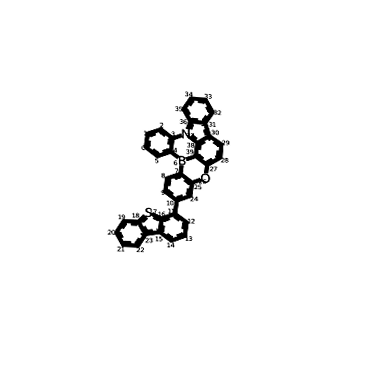 c1ccc2c(c1)B1c3ccc(-c4cccc5c4sc4ccccc45)cc3Oc3ccc4c5ccccc5n-2c4c31